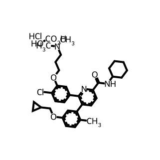 Cc1ccc(OCC2CC2)cc1-c1ccc(C(=O)NC2CCCCC2)nc1-c1ccc(Cl)c(OCCCN(C)C)c1.Cl.O=C(O)O